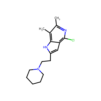 Cc1nc(Cl)c2cc(CCN3CCCCC3)[nH]c2c1C